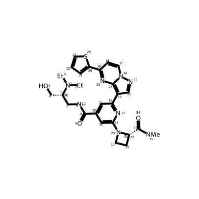 CCN(CC)[C@@H](CO)CNC(=O)c1cc(-c2cnn3ccc(-c4cccs4)nc23)nc(N2CC[C@H]2C(=O)NC)c1